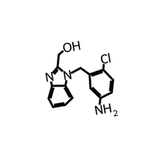 Nc1ccc(Cl)c(Cn2c(CO)nc3ccccc32)c1